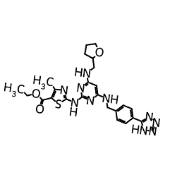 CCOC(=O)c1sc(Nc2nc(NCc3ccc(-c4nnn[nH]4)cc3)cc(NCC3CCCO3)n2)nc1C